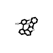 Oc1ccc(Cl)cc1-c1cccc2ccc3oc4c5ccccc5[nH]c4c3c12